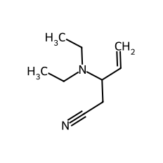 C=CC(CC#N)N(CC)CC